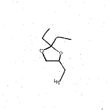 CCC1(CC)OCC(CS)O1